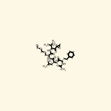 CC(=O)N[C@@H](CCc1ccccc1)C(=O)N[C@@H](CC(C)C)C(=O)N[C@@H](COCOP=O)C(=O)NC(C(=O)[C@@]1(C)CO1)C(C)C